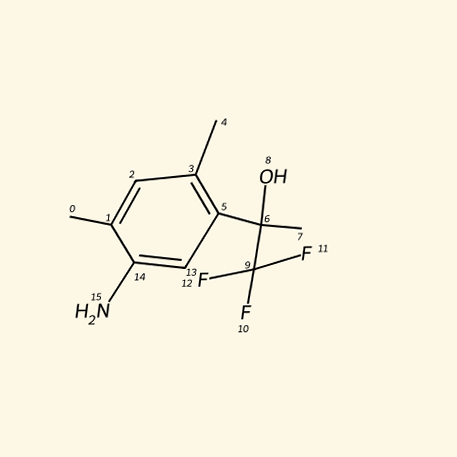 Cc1cc(C)c(C(C)(O)C(F)(F)F)cc1N